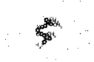 Cc1ccc(N(c2ccc3cc4c(cc3c2)oc2ccc3oc5cc6cc(N(c7ccc(C)cc7)c7ccccc7C(C)C)ccc6cc5c3c24)c2ccccc2C(C)C)cc1